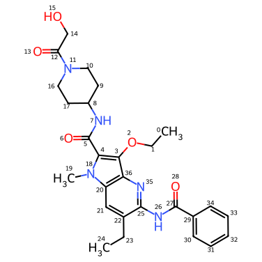 CCOc1c(C(=O)NC2CCN(C(=O)CO)CC2)n(C)c2cc(CC)c(NC(=O)c3ccccc3)nc12